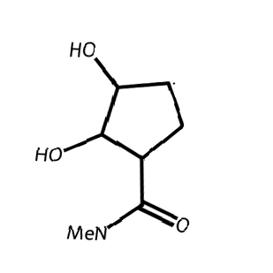 CNC(=O)C1C[CH]C(O)C1O